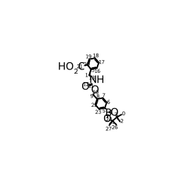 CC1(C)OB(c2ccc(COC(=O)NCc3ccccc3C(=O)O)cc2)OC1(C)C